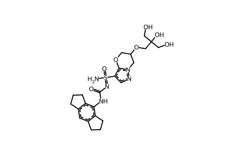 NS(=O)(=NC(=O)Nc1c2c(cc3c1CCC3)CCC2)c1cnn2c1OCC(OCC(O)(CO)CO)C2